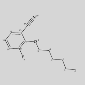 CCCCCCOc1c(F)cccc1C#N